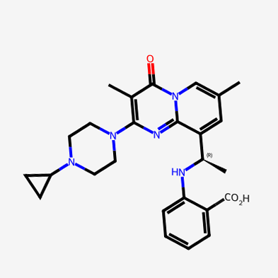 Cc1cc([C@@H](C)Nc2ccccc2C(=O)O)c2nc(N3CCN(C4CC4)CC3)c(C)c(=O)n2c1